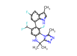 Cc1c[nH]c2c(-c3c(C(F)F)cc4c(c3F)-n3c(C)nnc3C(C)(C)N4)cc(F)cc12